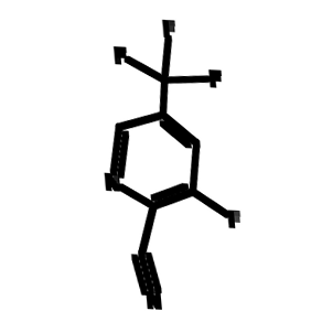 N#Cc1ncc(C(F)(F)F)cc1F